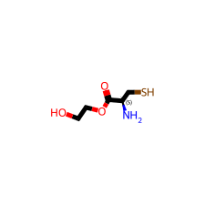 N[C@H](CS)C(=O)OCCO